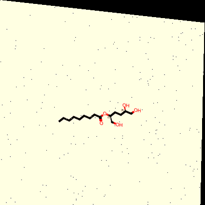 CCCCCCCCC(=O)O[C@H](CO)CC[C@@H](O)CO